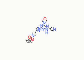 CC(C)(C)OC(=O)N1CCC(c2ccn(-c3nc(N4CCOCC4)c4nc(-c5ccncc5)[nH]c4n3)n2)CC1